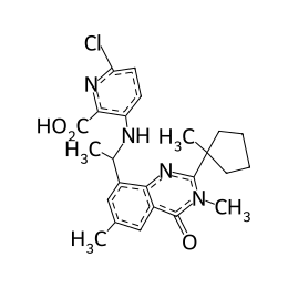 Cc1cc(C(C)Nc2ccc(Cl)nc2C(=O)O)c2nc(C3(C)CCCC3)n(C)c(=O)c2c1